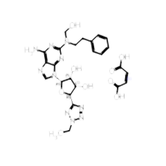 CCn1nnc([C@H]2O[C@@H](n3cnc4c(N)nc(N(CO)CCc5ccccc5)nc43)[C@H](O)[C@@H]2O)n1.O=C(O)/C=C\C(=O)O